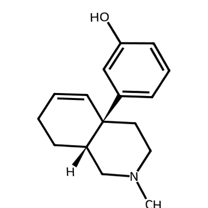 CN1CC[C@@]2(c3cccc(O)c3)C=CCC[C@H]2C1